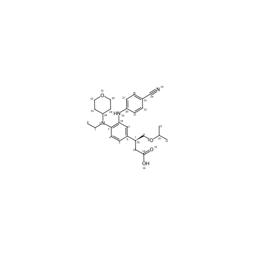 CCN(c1ccc([C@@H](COC(C)C)CC(=O)O)cc1Nc1ccc(C#N)cc1)C1CCOCC1